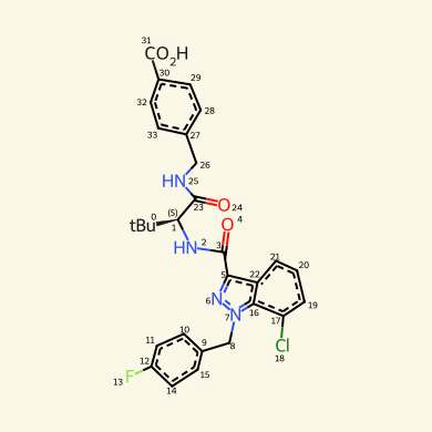 CC(C)(C)[C@H](NC(=O)c1nn(Cc2ccc(F)cc2)c2c(Cl)cccc12)C(=O)NCc1ccc(C(=O)O)cc1